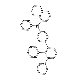 c1ccc(-c2cccc(-c3ccc(N(c4ccccc4)c4cccc5ccccc45)cc3)c2-c2ccccc2)cc1